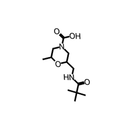 CC1CN(C(=O)O)CC(CNC(=O)C(C)(C)C)O1